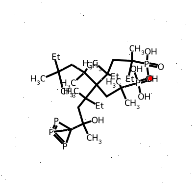 CCC(C)(C)CC(C)(C)C(CC(C)(C)P(=O)(O)O)(C(C)(CC)CC(C)(O)C12P=P1=P2)C(C)(CC)CC(C)(CC)P(=O)(O)O